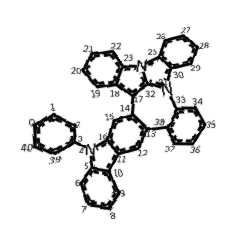 c1ccc(-n2c3ccccc3c3cc4c(cc32)-c2c3ccccc3n3c5ccccc5n(c23)-c2ccccc2-4)cc1